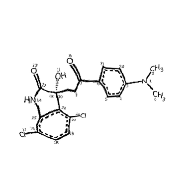 CN(C)c1ccc(C(=O)C[C@]2(O)C(=O)Nc3c(Cl)ccc(Cl)c32)cc1